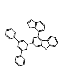 C1=Cc2cccc(-c3cc([C@H]4C=C(c5ccccc5)N=C(c5ccccc5)C4)cc4sc5ccccc5c34)c2C1